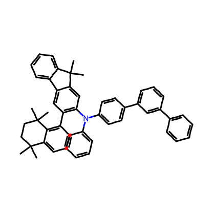 CC1(C)CCC(C)(C)c2c(-c3cc4c(cc3N(c3ccccc3)c3ccc(-c5cccc(-c6ccccc6)c5)cc3)C(C)(C)c3ccccc3-4)cccc21